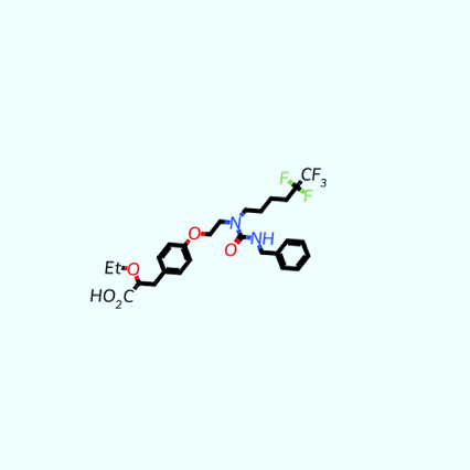 CCOC(Cc1ccc(OCCN(CCCCC(F)(F)C(F)(F)F)C(=O)NCc2ccccc2)cc1)C(=O)O